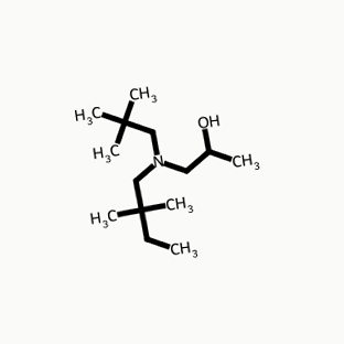 CCC(C)(C)CN(CC(C)O)CC(C)(C)C